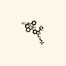 Cc1nc2c(cc1C#N)CCCC2N(c1ccc2c(c1)c(-c1cnco1)nn2COCC[Si](C)(C)C)S(=O)(=O)c1ccccc1[N+](=O)[O-]